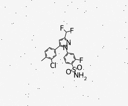 Cc1ccc(-c2cc(C(F)F)nn2-c2ccc(S(N)(=O)=O)c(F)c2)cc1Cl